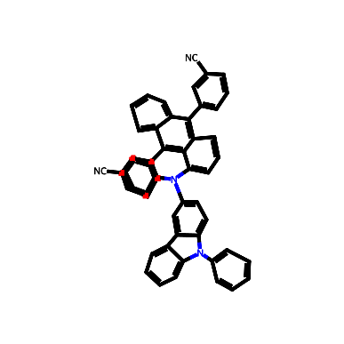 N#Cc1cccc(-c2c3ccccc3c(-c3cccc(C#N)c3)c3c(N(c4ccccc4)c4ccc5c(c4)c4ccccc4n5-c4ccccc4)cccc23)c1